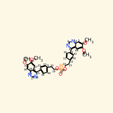 COc1cc2ncnc(-c3ccc(CCO[PH](=O)OCCc4ccc(-c5ncnc6cc(OC)c(OC)cc56)cc4)cc3)c2cc1OC